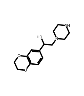 OC(CN1CCNCC1)c1ccc2c(c1)OCCO2